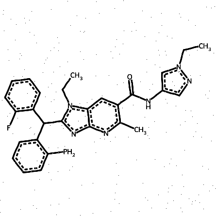 CCn1cc(NC(=O)c2cc3c(nc2C)nc(C(c2ccccc2F)c2ccccc2P)n3CC)cn1